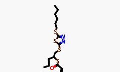 C=CC(=O)SC(CCC)CSc1nnc(SCCCCCC)s1